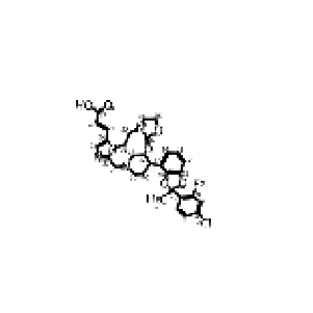 CC1(c2ccc(Cl)cc2F)Oc2cccc(C3CCN(Cc4ncc(/C=C/C(=O)O)n4CCN4CCOC4=O)CC3)c2O1